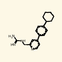 N=C(N)NCc1cc(-c2ccc(C3CCCCC3)cc2)ccn1